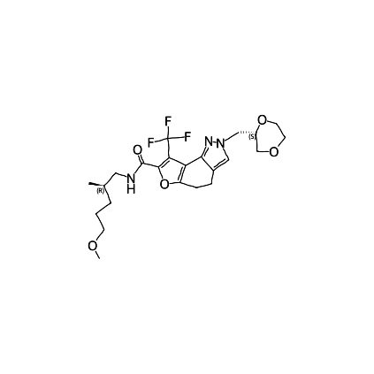 COCCC[C@@H](C)CNC(=O)c1oc2c(c1C(F)(F)F)-c1nn(C[C@H]3COCCO3)cc1CC2